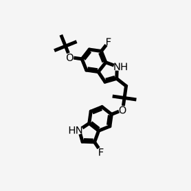 CC(C)(C)Oc1cc(F)c2[nH]c(CC(C)(C)Oc3ccc4[nH]cc(F)c4c3)cc2c1